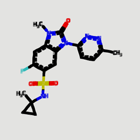 Cc1ccc(-n2c(=O)n(C)c3cc(F)c(S(=O)(=O)NC4(C)CC4)cc32)nn1